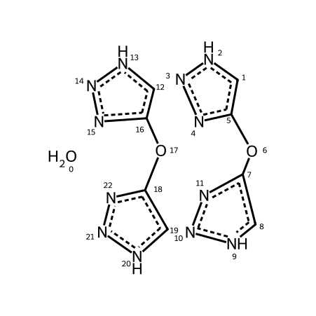 O.c1[nH]nnc1Oc1c[nH]nn1.c1[nH]nnc1Oc1c[nH]nn1